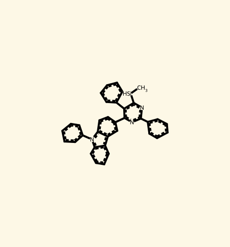 C[SiH]1c2ccccc2-c2c(-c3ccc4c(c3)c3ccccc3n4-c3ccccc3)nc(-c3ccccc3)nc21